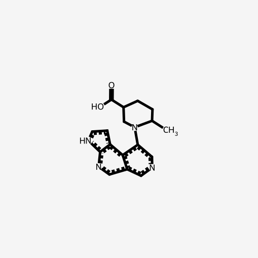 CC1CCC(C(=O)O)CN1c1cncc2cnc3[nH]ccc3c12